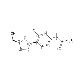 CC(=O)Nc1ccn([C@H]2CS[C@@H](CO)O2)c(=O)n1